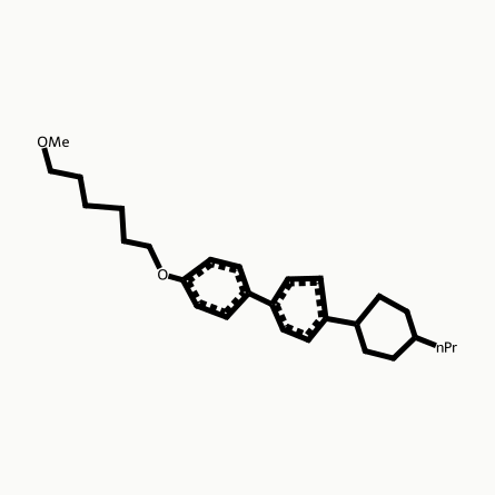 CCCC1CCC(c2ccc(-c3ccc(OCCCCCCOC)cc3)cc2)CC1